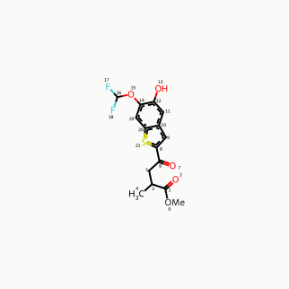 COC(=O)C(C)CC(=O)c1cc2cc(O)c(OC(F)F)cc2s1